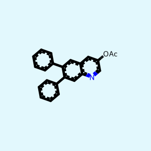 CC(=O)Oc1cnc2cc(-c3ccccc3)c(-c3ccccc3)cc2c1